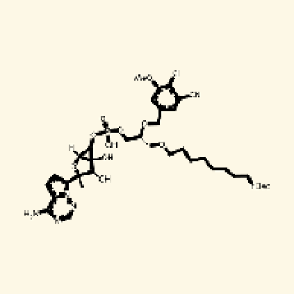 CCCCCCCCCCCCCCCCCCOC[C@H](COP(=O)(O)OC1[C@H]2O[C@@](C)(c3ccc4c(N)ncnn34)[C@H](O)[C@@]12O)OCc1cc(C#N)c(Cl)c(OC)c1